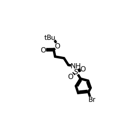 CC(C)(C)OC(=O)CCCNS(=O)(=O)c1ccc(Br)cc1